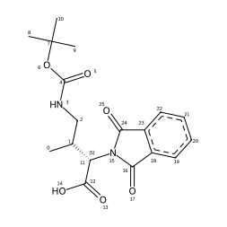 CC(CNC(=O)OC(C)(C)C)[C@@H](C(=O)O)N1C(=O)c2ccccc2C1=O